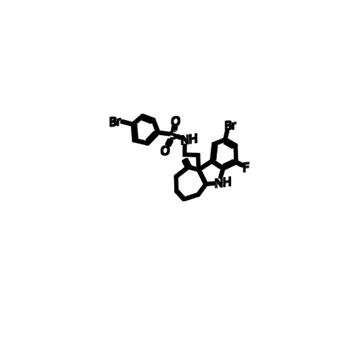 C=C1CCCCC2Nc3c(F)cc(Br)cc3C12CCNS(=O)(=O)c1ccc(Br)cc1